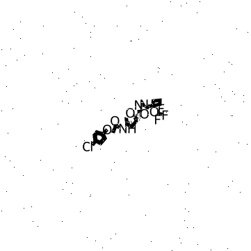 O=C(COc1ccc(Cl)cc1)N[C@@H]1CC[C@@H](c2nnc(C3(OC(F)(F)F)CCC3)o2)OC1